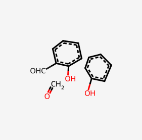 C=O.O=Cc1ccccc1O.Oc1ccccc1